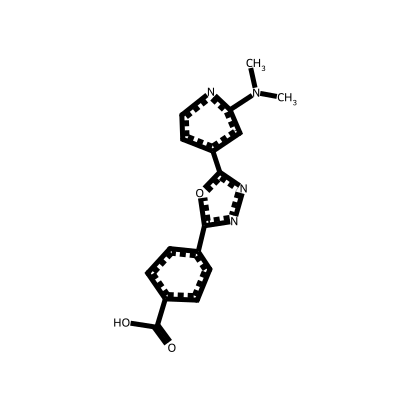 CN(C)c1cc(-c2nnc(-c3ccc(C(=O)O)cc3)o2)ccn1